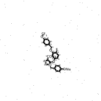 CCOC(=O)c1nnn(Cc2ccc(OC)cc2)c1Oc1ccc(F)c(OCc2ccc(OC(F)(F)F)cc2)c1